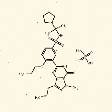 CCCOc1ccc(S(=O)(=O)NC(C)(C)N2CCCC2)cc1-c1nc2c(CCC)nn(C)c2c(=O)[nH]1.CS(=O)(=O)O